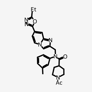 CCc1nnc(-c2ccn3cc(CN(C(=O)C4CCN(C(C)=O)CC4)c4cccc(C)c4)nc3c2)o1